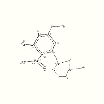 CCc1cc(N2CCC[C@@H](C)C2)c([N+](=O)[O-])c(Cl)n1